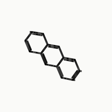 [c]1[c]cc2cc3cc[c]cc3cc2c1